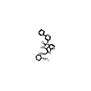 N[C@H]1CCCC[C@H]1NCc1sc2nccc3c2c1NC(=O)N3c1ccnc(-c2ccccc2)c1